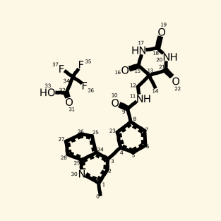 Cc1cc(-c2cccc(C(=O)NCC3(C)C(=O)NC(=O)NC3=O)c2)c2ccccc2n1.O=C(O)C(F)(F)F